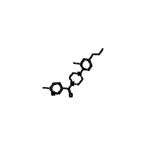 CCCc1ccc(N2CCN(C(=O)c3ccc(C)nc3)CC2)c(C)c1